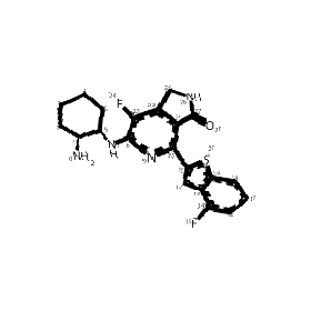 N[C@H]1CCCC[C@H]1Nc1nc(-c2cc3c(F)cccc3s2)c2c(c1F)CNC2=O